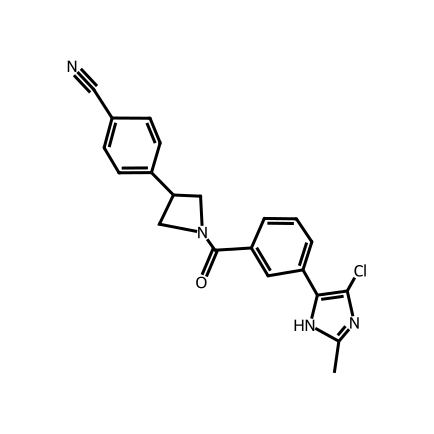 Cc1nc(Cl)c(-c2cccc(C(=O)N3CC(c4ccc(C#N)cc4)C3)c2)[nH]1